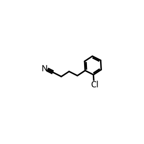 N#CCCCc1ccccc1Cl